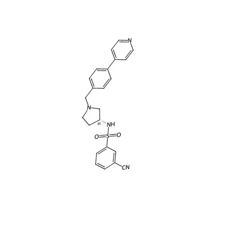 N#Cc1cccc(S(=O)(=O)N[C@@H]2CCN(Cc3ccc(-c4ccncc4)cc3)C2)c1